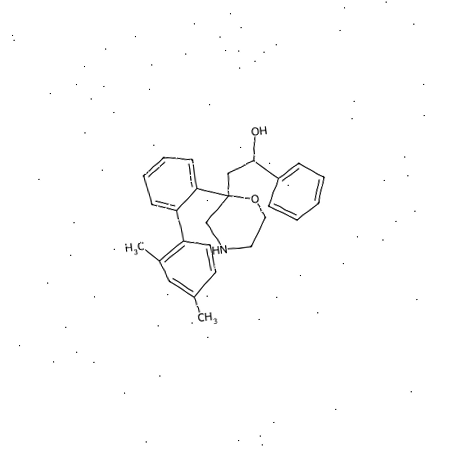 Cc1ccc(-c2ccccc2C2(CC(O)c3ccccc3)CNCCO2)c(C)c1